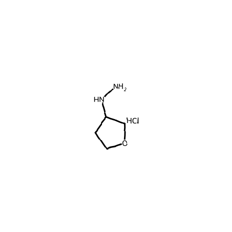 Cl.NNC1CCOC1